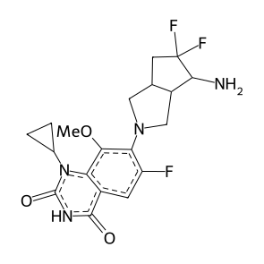 COc1c(N2CC3CC(F)(F)C(N)C3C2)c(F)cc2c(=O)[nH]c(=O)n(C3CC3)c12